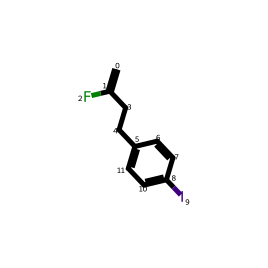 C=C(F)CCc1ccc(I)cc1